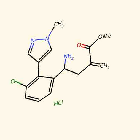 C=C(CC(N)c1cccc(Cl)c1-c1cnn(C)c1)C(=O)OC.Cl